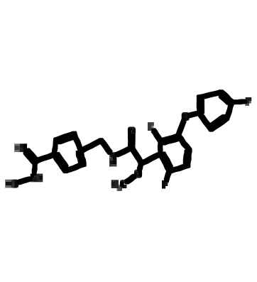 COC(C(=O)NCc1ccc(C(=N)NO)cc1)c1c(F)ccc(Oc2ccc(F)cc2)c1F